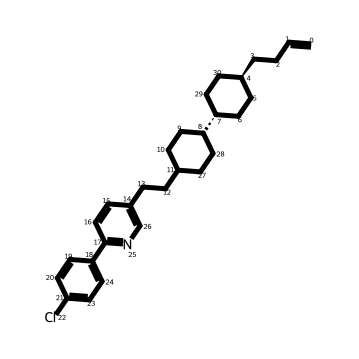 C=CCC[C@H]1CC[C@H](C2CCC(CCc3ccc(-c4ccc(Cl)cc4)nc3)CC2)CC1